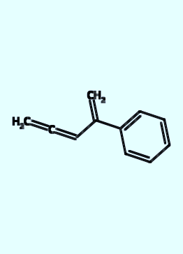 C=C=CC(=C)c1ccccc1